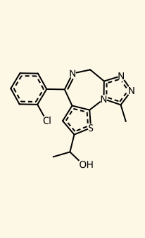 Cc1nnc2n1-c1sc(C(C)O)cc1C(c1ccccc1Cl)=NC2